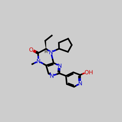 CC[C@@H]1C(=O)N(C)c2cnc(-c3ccnc(O)c3)nc2N1C1CCCC1